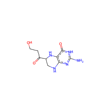 Nc1nc2c(c(=O)[nH]1)NC(C(=O)CCO)CN2